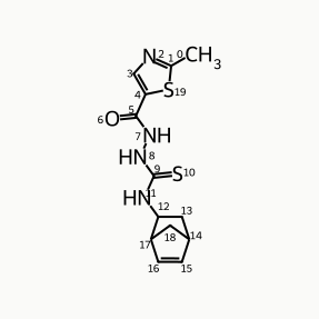 Cc1ncc(C(=O)NNC(=S)NC2CC3C=CC2C3)s1